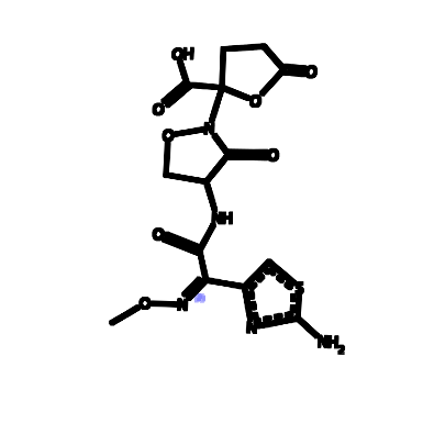 CO/N=C(\C(=O)NC1CON(C2(C(=O)O)CCC(=O)O2)C1=O)c1csc(N)n1